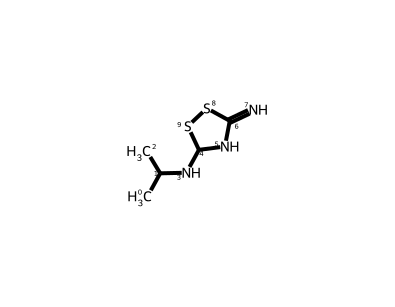 CC(C)NC1NC(=N)SS1